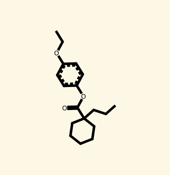 CCCC1(C(=O)Oc2ccc(OCC)cc2)CCCCC1